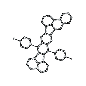 Fc1ccc(-c2c3cc4c(cc3c(-c3ccc(F)cc3)c3c5cccc6cccc(c23)c65)c2cc3ccccc3c3cccc4c32)cc1